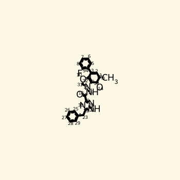 C[C@H]1C=C(c2ccccc2F)C2=C(C1=O)N(NC(=O)c1n[nH]c(Cc3ccccc3)n1)CO2